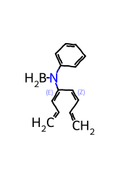 BN(C(/C=C\C=C)=C/C=C)c1ccccc1